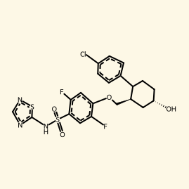 O=S(=O)(Nc1ncns1)c1cc(F)c(OC[C@@H]2C[C@@H](O)CCC2c2ccc(Cl)cc2)cc1F